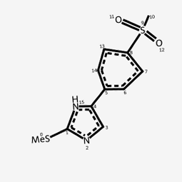 CSc1ncc(-c2ccc(S(C)(=O)=O)cc2)[nH]1